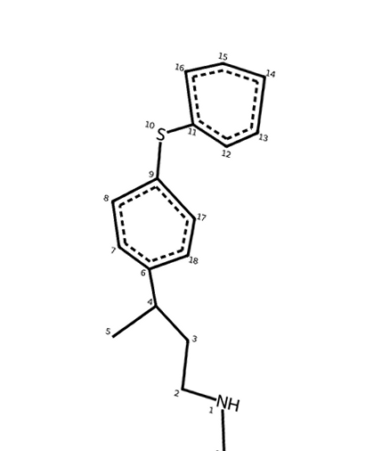 CNCCC(C)c1ccc(Sc2ccccc2)cc1